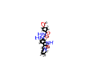 COc1ccc(C(=O)NC(=O)Nc2ccc3c(c2)NC(=O)C3=Cc2ccccn2)cc1